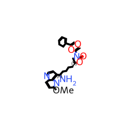 COc1ccc2nccc([C@H](N)CCCC[C@H]3CN(C4=COC=C(C5=CC=CCC5)O4)C(=O)O3)c2n1